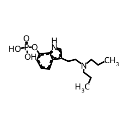 CCCN(CCC)CCc1c[nH]c2c(OP(=O)(O)O)cccc12